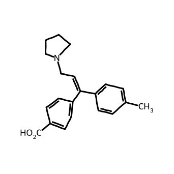 Cc1ccc(C(=CCN2CCCC2)c2ccc(C(=O)O)cc2)cc1